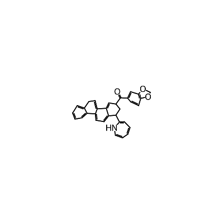 O=C(c1ccc2c(c1)OCO2)C1C=c2c(ccc3c2=CCc2ccccc2-3)C(C2=CC=CC=CN2)C1